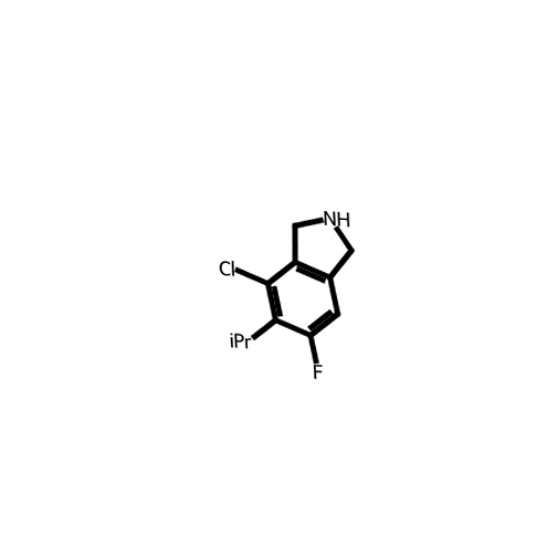 CC(C)c1c(F)cc2c(c1Cl)CNC2